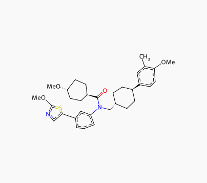 COc1ncc(-c2cccc(N(C[C@H]3CC[C@H](c4ccc(OC)c(C)c4)CC3)C(=O)[C@H]3CC[C@H](OC)CC3)c2)s1